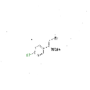 CNC(CC(C)C)c1ccc(Cl)cc1